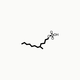 CCCCCCCC(C)CCCCOS(=O)(=O)O